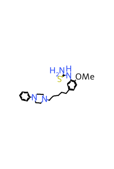 COc1ccc(CCCCCN2CCN(c3ccccc3)CC2)cc1NC(N)=S